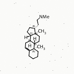 CNCC[C@H]1CC[C@H]2[C@@H]3CC=C4CCCC[C@]4(C)[C@H]3CC[C@]12C